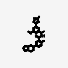 COc1cc(-c2cnn(C)c2)cc([C@@H](C)NC(=O)c2cc(N3CCN4CCCC4C3)ccc2C)c1